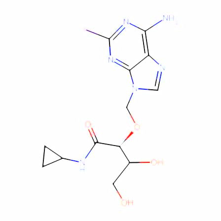 Nc1nc(I)nc2c1ncn2CO[C@H](C(=O)NC1CC1)C(O)CO